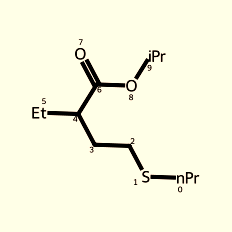 CCCSCCC(CC)C(=O)OC(C)C